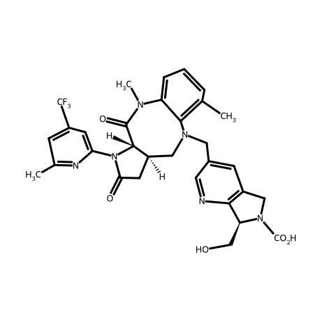 Cc1cc(C(F)(F)F)cc(N2C(=O)C[C@@H]3CN(Cc4cnc5c(c4)CN(C(=O)O)[C@H]5CO)c4c(C)cccc4N(C)C(=O)[C@H]32)n1